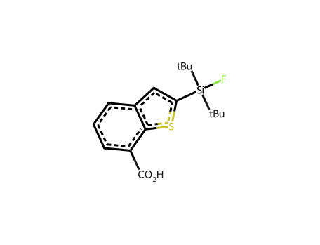 CC(C)(C)[Si](F)(c1cc2cccc(C(=O)O)c2s1)C(C)(C)C